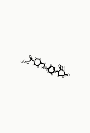 CC(C)(C)OC(=O)N1CCC(CNc2ccc(C3CCC(=O)NC3=O)cc2)CC1